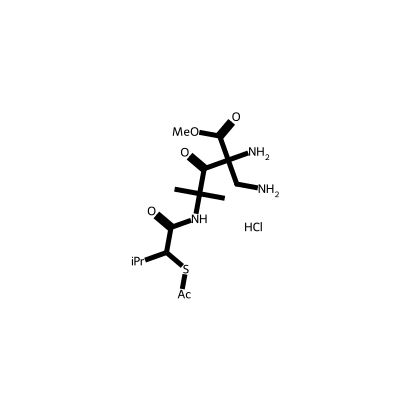 COC(=O)C(N)(CN)C(=O)C(C)(C)NC(=O)C(SC(C)=O)C(C)C.Cl